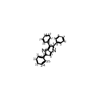 C1=C2N=C(c3ccccc3)C(c3ccccc3)=C2N=C1c1ccccc1